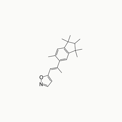 CC(=Cc1ccno1)c1cc2c(cc1C)C(C)(C)C(C)C2(C)C